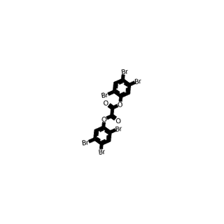 O=C(Oc1cc(Br)c(Br)cc1Br)C(=O)Oc1cc(Br)c(Br)cc1Br